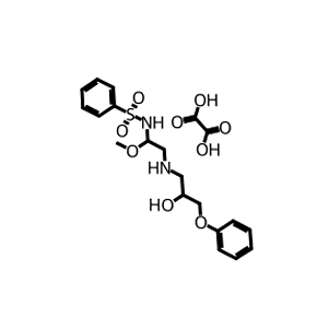 COC(CNCC(O)COc1ccccc1)NS(=O)(=O)c1ccccc1.O=C(O)C(=O)O